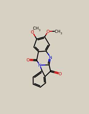 COc1cc2nc3n(c(=O)c2cc1OC)-c1ccccc1C3=O